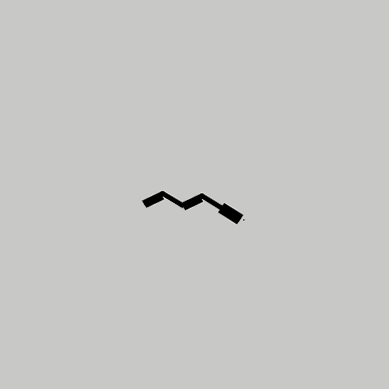 [C]#CC=CC=C